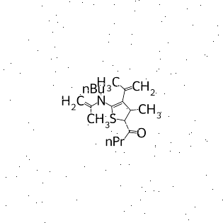 C=C(C)C1=C(N(CCCC)C(=C)C)SC(C(=O)CCC)C1C